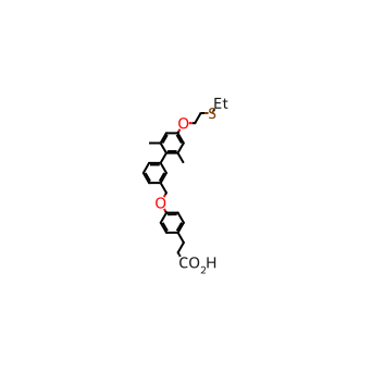 CCSCCOc1cc(C)c(-c2cccc(COc3ccc(CCC(=O)O)cc3)c2)c(C)c1